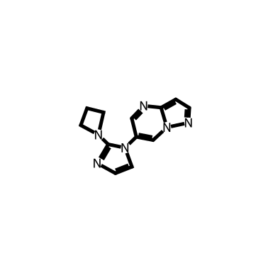 c1cn(-c2cnc3ccnn3c2)c(N2CCC2)n1